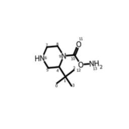 CC(C)(C)C1CNCCN1C(=O)ON